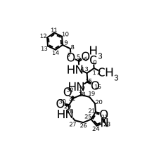 CC(C)C(NC(=O)OCc1ccccc1)C(=O)NC1CCc2oncc2CCNC(=O)C1=O